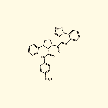 O=C(O)c1ccc(NC(=O)[C@@H]2[C@@H](c3ccccc3)CCN2C(=O)/C=C/c2ccccc2-n2cnnn2)cc1